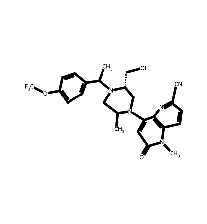 CC1CN(C(C)c2ccc(OC(F)(F)F)cc2)[C@H](CO)CN1c1cc(=O)n(C)c2ccc(C#N)nc12